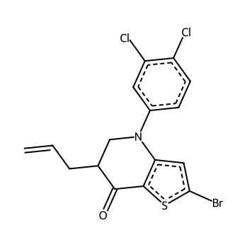 C=CCC1CN(c2ccc(Cl)c(Cl)c2)c2cc(Br)sc2C1=O